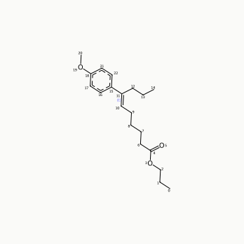 CCCOC(=O)CCCC/C=C(\CCC)c1ccc(OC)cc1